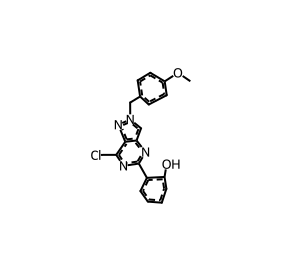 COc1ccc(Cn2cc3nc(-c4ccccc4O)nc(Cl)c3n2)cc1